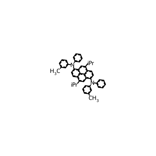 Cc1cccc(N(c2ccccc2)c2ccc3c(C(C)C)cc4c(N(c5ccccc5)c5cccc(C)c5)ccc5c(C(C)C)cc2c3c54)c1